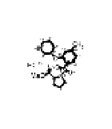 COC(=O)[C@@H]1CCCN1S(=O)(=O)c1ccc(C)cc1O[C@@H]1CCCNC1.Cl